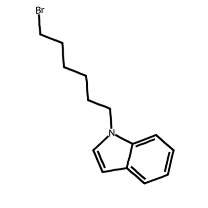 BrCCCCCCn1ccc2ccccc21